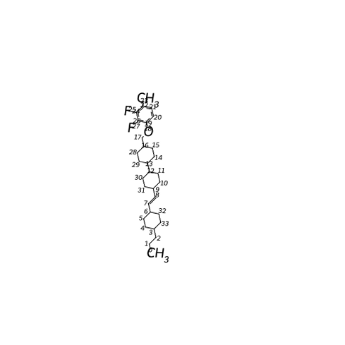 CCCC1CCC(/C=C/C2CCC(C3CCC(COc4ccc(C)c(F)c4F)CC3)CC2)CC1